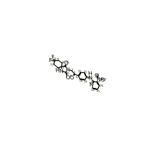 O=C(CN1C(=O)NC2(CCC(F)(F)CC2)C1=O)c1ccc(Nc2ncccc2[N+](=O)[O-])cc1